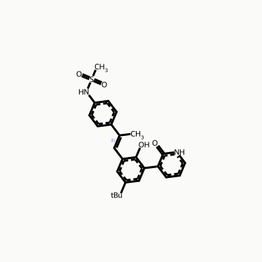 C/C(=C\c1cc(C(C)(C)C)cc(-c2ccc[nH]c2=O)c1O)c1ccc(NS(C)(=O)=O)cc1